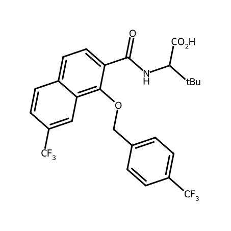 CC(C)(C)C(NC(=O)c1ccc2ccc(C(F)(F)F)cc2c1OCc1ccc(C(F)(F)F)cc1)C(=O)O